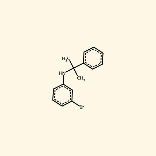 CC(C)(Nc1cccc(Br)c1)c1ccccc1